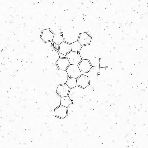 N#Cc1ccc(-n2c3ccccc3c3c4sc5ccccc5c4ccc32)c(-c2ccc(C(F)(F)F)cc2-n2c3ccccc3c3c4sc5ccccc5c4ccc32)c1